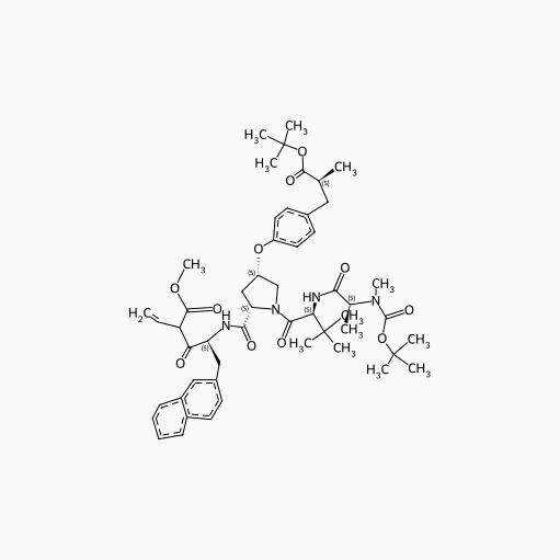 C=CC(C(=O)OC)C(=O)[C@H](Cc1ccc2ccccc2c1)NC(=O)[C@@H]1C[C@H](Oc2ccc(C[C@H](C)C(=O)OC(C)(C)C)cc2)CN1C(=O)[C@@H](NC(=O)[C@H](C)N(C)C(=O)OC(C)(C)C)C(C)(C)C